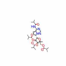 CC(C)C(=O)Nc1ncnn2c([C@@H]3O[C@](C)(COC(=O)C(C)C)[C@@H](OC(=O)C(C)C)[C@H]3OC(=O)C(C)C)ccc12